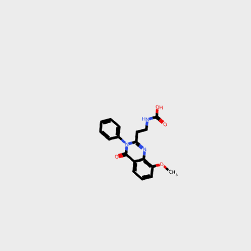 COc1cccc2c(=O)n(-c3ccccc3)c(CCNC(=O)O)nc12